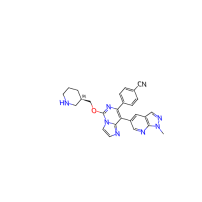 Cn1ncc2cc(-c3c(-c4ccc(C#N)cc4)nc(OC[C@@H]4CCCNC4)n4ccnc34)cnc21